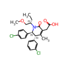 CC[C@@H](COC)N1C(=O)C(CC(=O)O)=C(C)[C@H](c2cccc(Cl)c2)[C@H]1c1ccc(Cl)cc1